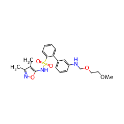 COCCOCNc1cccc(-c2ccccc2S(=O)(=O)Nc2onc(C)c2C)c1